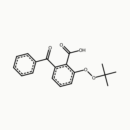 CC(C)(C)OOc1cccc(C(=O)c2ccccc2)c1C(=O)O